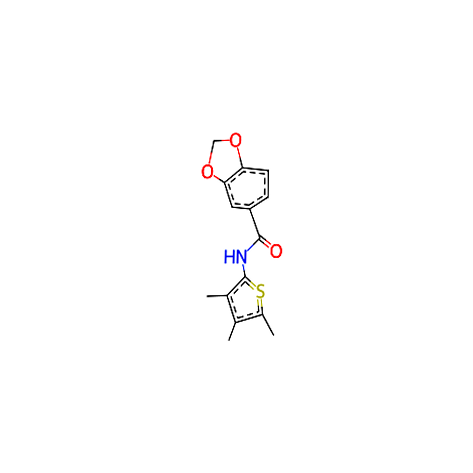 Cc1sc(NC(=O)c2ccc3c(c2)OCO3)c(C)c1C